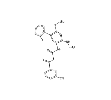 CC(C)(C)Oc1cc(NC(=O)O)c(NC(=O)CC(=O)c2cccc(C#N)c2)cc1-c1ccccc1F